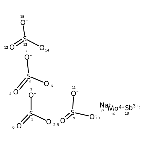 O=S([O-])[O-].O=S([O-])[O-].O=S([O-])[O-].O=S([O-])[O-].[Mo+4].[Na+].[Sb+3]